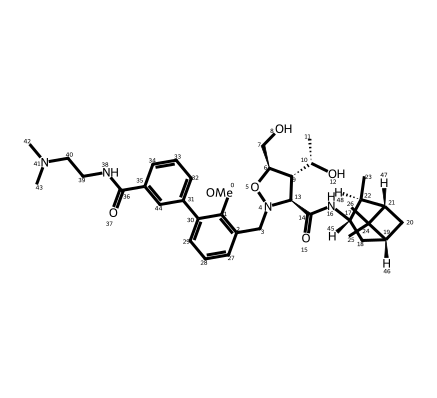 COc1c(CN2O[C@@H](CO)[C@H]([C@H](C)O)[C@H]2C(=O)N[C@H]2C[C@H]3C[C@@H]([C@@H]2C)C3(C)C)cccc1-c1cccc(C(=O)NCCN(C)C)c1